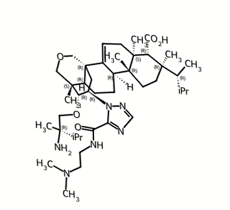 CC(C)[C@@H](C)[C@@]1(C)CC[C@]2(C)[C@H]3CC[C@@H]4[C@@]5(COC[C@@]4(C)[C@@H](OC[C@](C)(N)C(C)C)[C@H](n4ncnc4C(=O)NCCN(C)C)C5)C3=CC[C@@]2(C)[C@@H]1C(=O)O